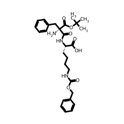 CC(C)(C)OC(=O)[C@](N)(Cc1ccccc1)C(=O)N[C@@H](CCCCNC(=O)OCc1ccccc1)C(=O)O